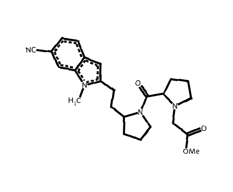 COC(=O)CN1CCCC1C(=O)N1CCCC1CCc1cc2ccc(C#N)cc2n1C